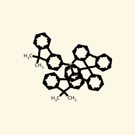 CC1(C)c2ccccc2-c2cc(N(c3cccc4c3-c3ccccc3C4(C)C)c3cccc4c3C3(c5ccccc5-c5ccccc53)c3ccccc3-4)ccc21